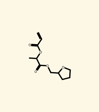 C=CC(=O)OC(C)C(=O)OCC1CCCO1